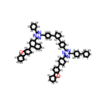 c1ccc(-c2ccc(-c3nc(-c4ccc(-c5cccc(-c6ccc(-c7nc(-c8ccccc8)nc(-c8ccc(-c9ccc%10c(c9)oc9ccccc9%10)c9ccccc89)n7)cc6)c5)cc4)nc(-c4ccc(-c5ccc6c(c5)oc5ccccc56)cc4)n3)cc2)cc1